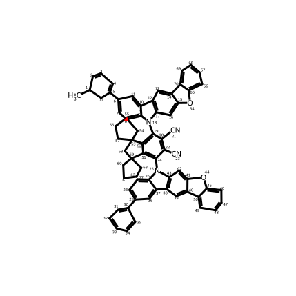 CC1C=CC=C(c2ccc3c(c2)c2cc4c(cc2n3-c2c(C#N)c(C#N)c(-n3c5ccc(-c6ccccc6)cc5c5cc6c(cc53)oc3ccccc36)c3c2C2(CCCC2)CC32CCCC2)oc2ccccc24)C1